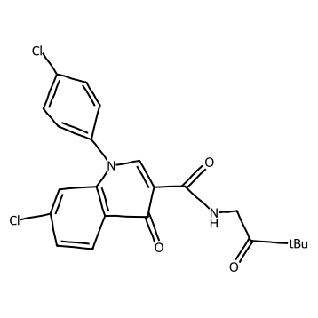 CC(C)(C)C(=O)CNC(=O)c1cn(-c2ccc(Cl)cc2)c2cc(Cl)ccc2c1=O